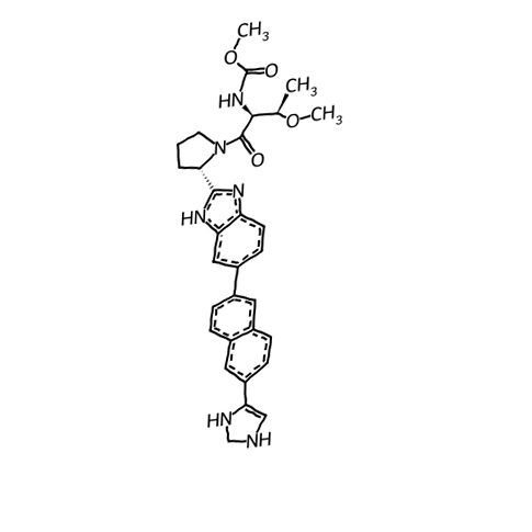 COC(=O)N[C@H](C(=O)N1CCC[C@H]1c1nc2ccc(-c3ccc4cc(C5=CNCN5)ccc4c3)cc2[nH]1)[C@@H](C)OC